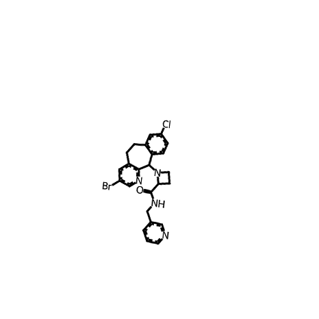 O=C(NCc1cccnc1)C1CCN1C1c2ccc(Cl)cc2CCc2cc(Br)cnc21